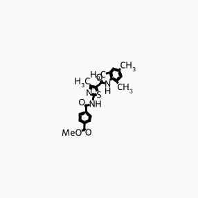 COC(=O)c1ccc(C(=O)Nc2nc(C)c(C(=O)Nc3c(C)cc(C)cc3C)s2)cc1